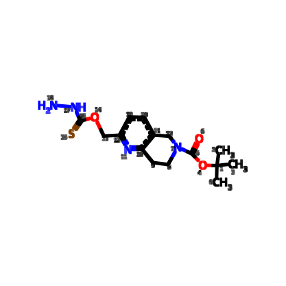 CC(C)(C)OC(=O)N1CCc2nc(COC(=S)NN)ccc2C1